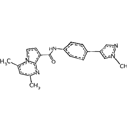 Cc1cc(C)n2ccc(C(=O)Nc3ccc(-c4cnn(C)c4)cc3)c2n1